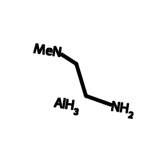 CNCCN.[AlH3]